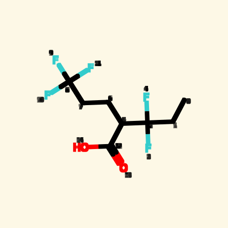 CCC(F)(F)C(CCC(F)(F)F)C(=O)O